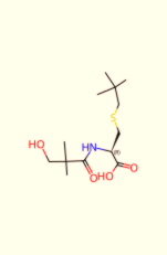 CC(C)(C)CSC[C@H](NC(=O)C(C)(C)CO)C(=O)O